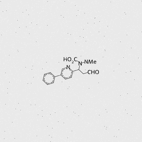 CNN(C(=O)O)C(CC=O)c1ccc(-c2ccccc2)cn1